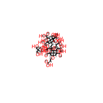 O=C(O)C=COC(C=CC(=O)O)(C=CC(=O)O)C(CO)(COC(=O)C=CC(C=CC(=O)O)(C=CC(=O)O)C(C=CC(=O)O)(CO)C(CO)(CO)CO)C(C=CC(=O)O)(C=CC(=O)O)OC=CC(=O)O.OCC(CO)(CO)CO